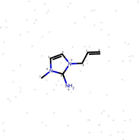 C=CCN1C=CN(C)C1N